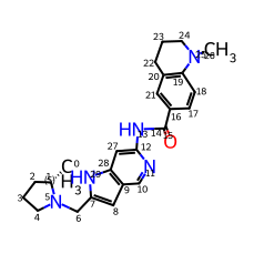 C[C@H]1CCCN1Cc1cc2cnc(NC(=O)c3ccc4c(c3)CCCN4C)cc2[nH]1